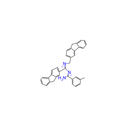 Cc1cccc(/C(N)=N/C(=N\Cc2ccc3c(c2)-c2ccccc2C3)c2ccc3c(c2)Cc2ccccc2-3)c1